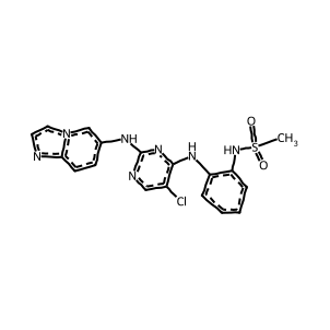 CS(=O)(=O)Nc1ccccc1Nc1nc(Nc2ccc3nccn3c2)ncc1Cl